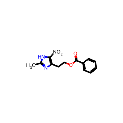 Cc1nc(CCOC(=O)c2ccccc2)c([N+](=O)[O-])[nH]1